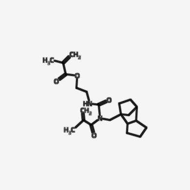 C=C(C)C(=O)OCCNC(=O)N(CC12CCC(C1)C1CCCC12)C(=O)C(=C)C